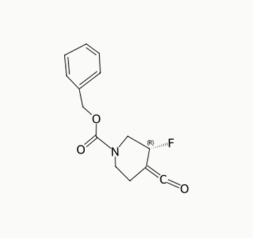 O=C=C1CCN(C(=O)OCc2ccccc2)C[C@@H]1F